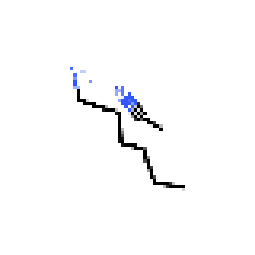 CC#N.CCCCCCN